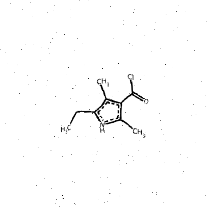 CCc1[nH]c(C)c(C(=O)Cl)c1C